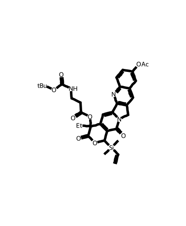 C=C[Si](C)(C)C1OC(=O)C(CC)(OC(=O)CCNC(=O)OC(C)(C)C)c2cc3n(c(=O)c21)Cc1cc2cc(OC(C)=O)ccc2nc1-3